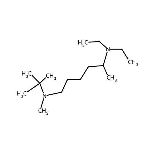 CCN(CC)C(C)CCCCN(C)C(C)(C)C